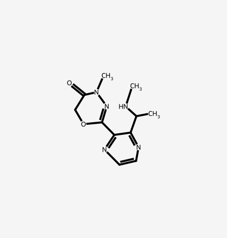 CNC(C)c1nccnc1C1=NN(C)C(=O)CO1